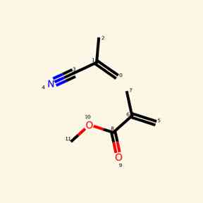 C=C(C)C#N.C=C(C)C(=O)OC